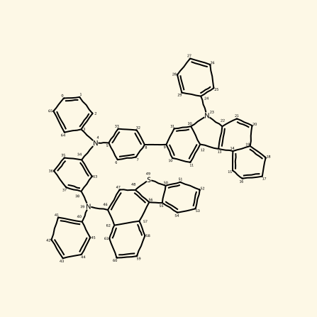 c1ccc(N(c2ccc(-c3ccc4c5c6ccccc6ccc5n(-c5ccccc5)c4c3)cc2)c2cccc(N(c3ccccc3)c3cc4sc5ccccc5c4c4ccccc34)c2)cc1